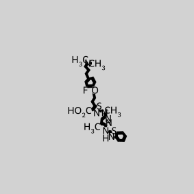 Cc1cc(N(C)c2nc(C(=O)O)c(CCCOc3ccc(CCCN(C)C)cc3F)s2)nnc1Nc1nc2ccccc2s1